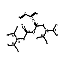 C=CC=C.CC(C)N(CC(=O)OC(=O)CN(C(C)C)C(C)C)C(C)C